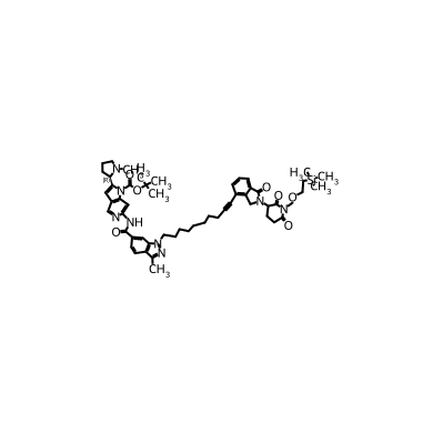 Cc1nn(CCCCCCCCC#Cc2cccc3c2CN(C2CCC(=O)N(COCC[Si](C)(C)C)C2=O)C3=O)c2cc(C(=O)Nc3cc4c(cn3)cc([C@H]3CCCN3C)n4C(=O)OC(C)(C)C)ccc12